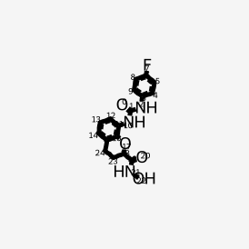 O=C(Nc1ccc(F)cc1)Nc1cccc2c1OC(C(=O)NO)CC2